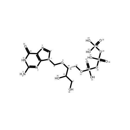 Nc1nc2c(ncn2CO[C@H](COP(=O)(O)OP(=O)(O)OP(=O)(O)O)C(O)CO)c(=O)[nH]1